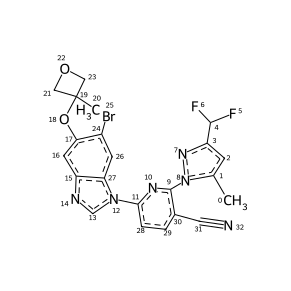 Cc1cc(C(F)F)nn1-c1nc(-n2cnc3cc(OC4(C)COC4)c(Br)cc32)ccc1C#N